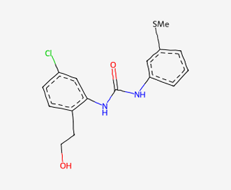 CSc1cccc(NC(=O)Nc2cc(Cl)ccc2CCO)c1